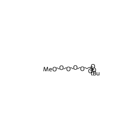 COCCOCCOCCOCCOCCCS(=O)(=O)OC(C)(C)C